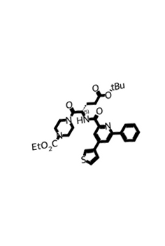 CCOC(=O)N1CCN(C(=O)[C@H](CCC(=O)OC(C)(C)C)NC(=O)c2cc(-c3ccsc3)cc(-c3ccccc3)n2)CC1